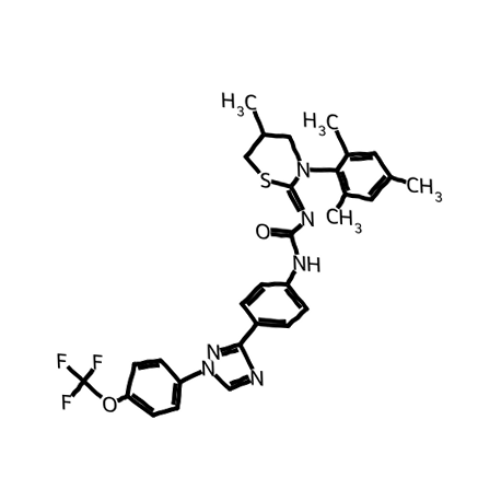 Cc1cc(C)c(N2CC(C)CS/C2=N\C(=O)Nc2ccc(-c3ncn(-c4ccc(OC(F)(F)F)cc4)n3)cc2)c(C)c1